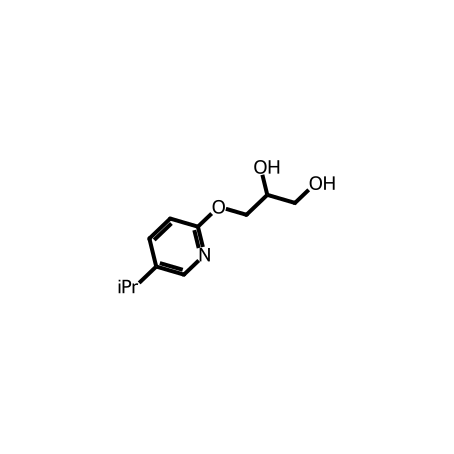 CC(C)c1ccc(OCC(O)CO)nc1